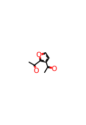 CC(=O)c1ccoc1C(C)=O